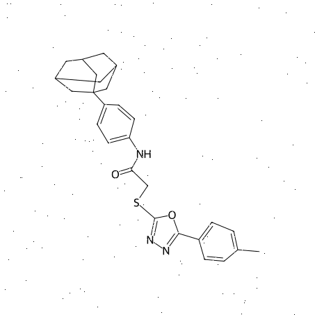 Cc1ccc(-c2nnc(SCC(=O)Nc3ccc(C45CC6CC(CC(C6)C4)C5)cc3)o2)cc1